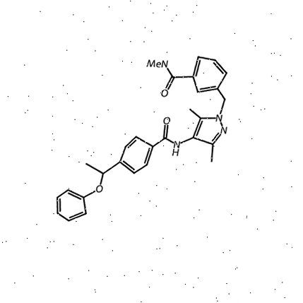 CNC(=O)c1cccc(Cn2nc(C)c(NC(=O)c3ccc(C(C)Oc4ccccc4)cc3)c2C)c1